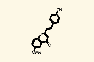 COc1ccc2oc(C=Cc3ccc(C#N)cc3)cc(=O)c2c1